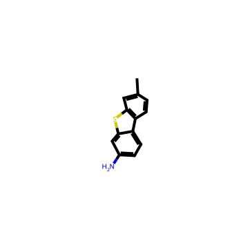 Cc1ccc2c(c1)sc1cc(N)ccc12